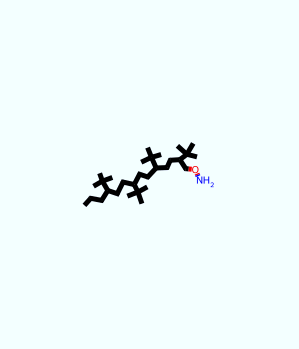 CCCC(CCC(CCC(CCC(CON)C(C)(C)C)C(C)(C)C)C(C)(C)C)C(C)(C)C